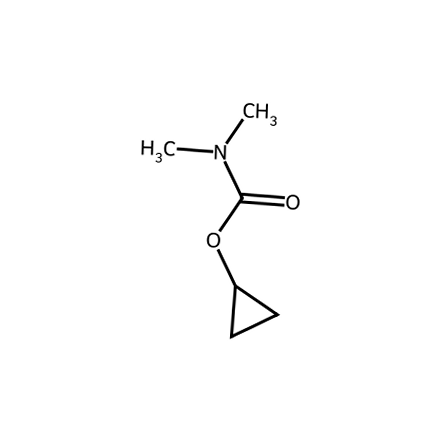 CN(C)C(=O)OC1CC1